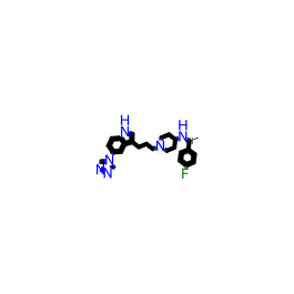 C[C@@H](NC1CCN(CCCc2c[nH]c3ccc(-n4cnnc4)cc23)CC1)c1ccc(F)cc1